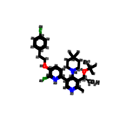 CCC(C)(C)O[C@H](C(=O)O)c1c(C)ncc(-c2ccc(OCCc3ccc(F)cc3)c(F)n2)c1N1CCC(C)(C)CC1